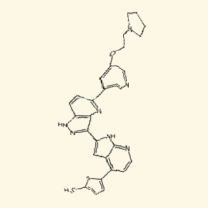 Cc1ccc(-c2ccnc3[nH]c(-c4n[nH]c5ccc(-c6cncc(OCCN7CCCC7)c6)nc45)cc23)s1